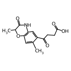 Cc1cc2c(cc1C(=O)CCC(=O)O)NC(=O)C(C)O2